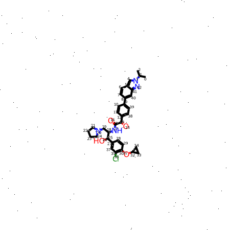 CC(C)n1cc2ccc(-c3ccc(C(=O)C(=O)NC(CN4CCCC4)C(O)c4ccc(OC5CC5)c(Cl)c4)cc3)cc2n1